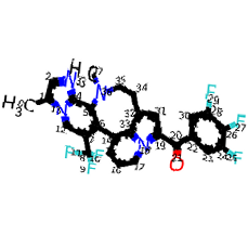 Cc1cnc2c3c(c(C(F)(F)F)cn12)-c1cccn2c(C(=O)c4cc(F)c(F)c(F)c4)cc(c12)CCN3C